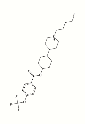 O=C(OC1CCC(C2CC[SiH](CCCCF)CC2)CC1)c1ccc(OC(F)(F)F)cc1